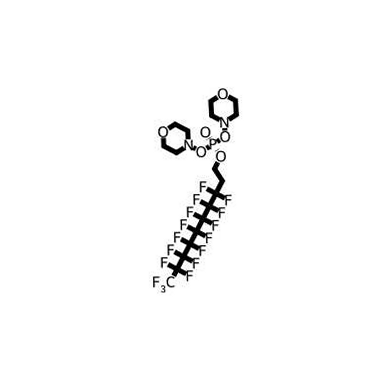 O=P(OCCC(F)(F)C(F)(F)C(F)(F)C(F)(F)C(F)(F)C(F)(F)C(F)(F)C(F)(F)F)(ON1CCOCC1)ON1CCOCC1